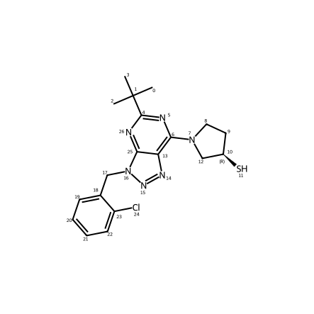 CC(C)(C)c1nc(N2CC[C@@H](S)C2)c2nnn(Cc3ccccc3Cl)c2n1